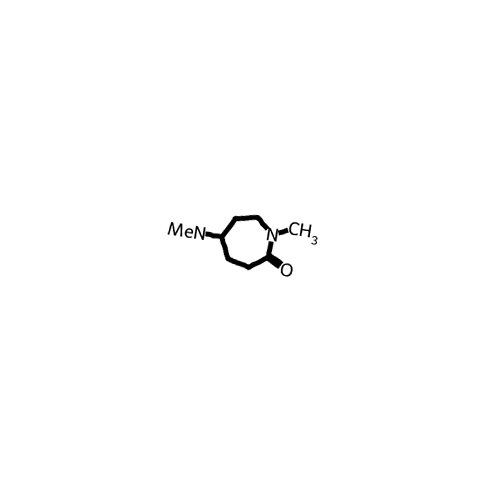 CNC1CCC(=O)N(C)CC1